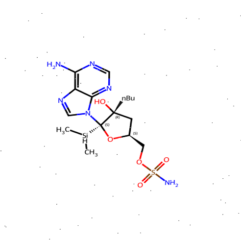 CCCC[C@@]1(O)C[C@@H](COS(N)(=O)=O)O[C@]1(n1cnc2c(N)ncnc21)[SiH](C)C